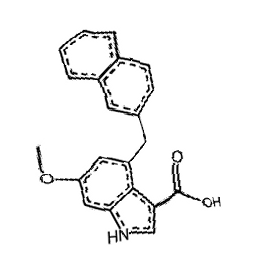 COc1cc(Cc2ccc3ccccc3c2)c2c(C(=O)O)c[nH]c2c1